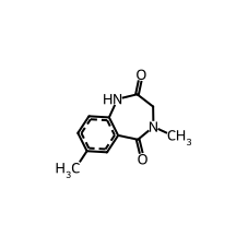 Cc1ccc2c(c1)C(=O)N(C)CC(=O)N2